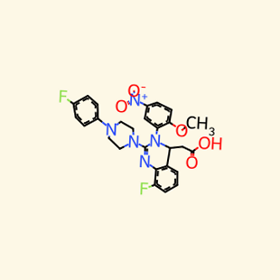 COc1ccc([N+](=O)[O-])cc1N1C(N2CCN(c3ccc(F)cc3)CC2)=Nc2c(F)cccc2C1CC(=O)O